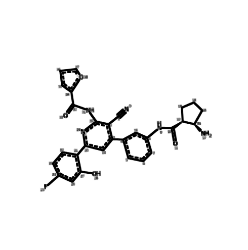 N#Cc1c(-c2cccc(NC(=O)[C@H]3CCC[C@H]3N)c2)cc(-c2ccc(F)cc2O)nc1NC(=O)c1ccco1